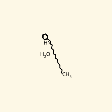 CCCCCCCCCCCCCNCc1ccccc1.O